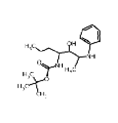 CCCC(NC(=O)OC(C)(C)C)C(O)C(C)Nc1ccccc1